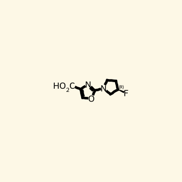 O=C(O)c1coc(N2CC[C@@H](F)C2)n1